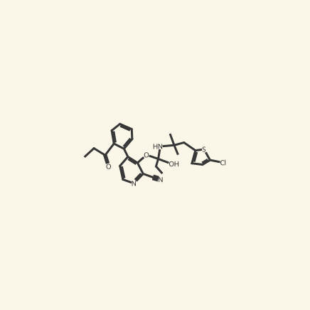 CCC(=O)c1ccccc1-c1ccnc(C#N)c1OC(O)(CC)NC(C)(C)Cc1ccc(Cl)s1